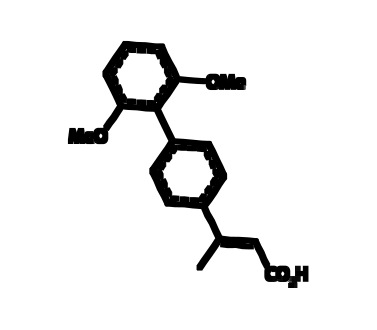 COc1cccc(OC)c1-c1ccc(C(C)=CC(=O)O)cc1